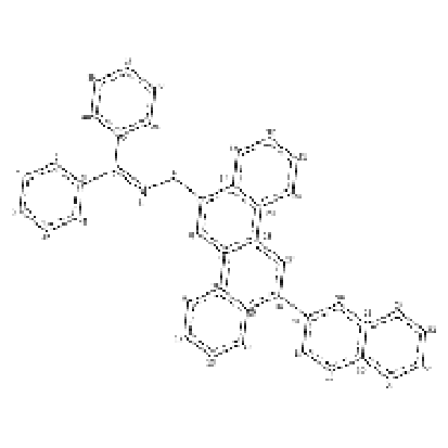 c1ccc(C(=NCc2cc3c4ccccc4c(-c4ccc5ccccc5c4)cc3c3ccccc23)c2ccccc2)cc1